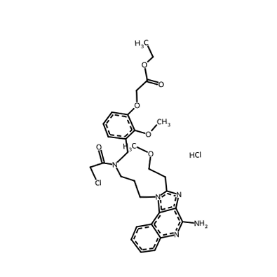 CCOC(=O)COc1cccc(CN(CCCn2c(CCOC)nc3c(N)nc4ccccc4c32)C(=O)CCl)c1OC.Cl